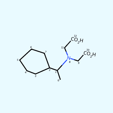 CC(C1CCCCC1)N(CC(=O)O)CC(=O)O